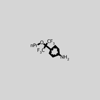 CCCOC(c1ccc(N)cc1)(C(F)(F)F)C(F)(F)F